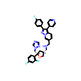 Fc1ccc(-c2nn3cc(CNC[C@@H]4CO[C@@](Cn5cncn5)(c5ccc(F)cc5F)C4)ccc3c2-c2ccncc2)cc1